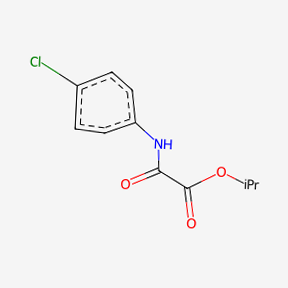 CC(C)OC(=O)C(=O)Nc1ccc(Cl)cc1